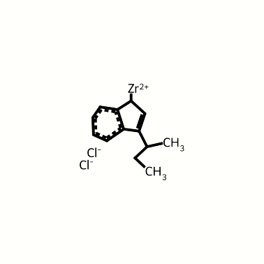 CCC(C)C1=C[CH]([Zr+2])c2ccccc21.[Cl-].[Cl-]